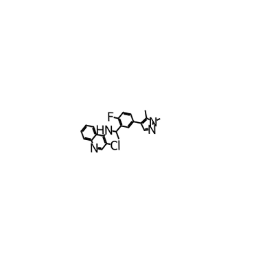 Cc1c(-c2ccc(F)c(C(C)Nc3c(Cl)cnc4ccccc34)c2)cnn1C